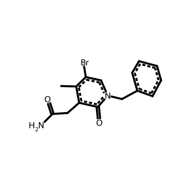 Cc1c(Br)cn(Cc2ccccc2)c(=O)c1CC(N)=O